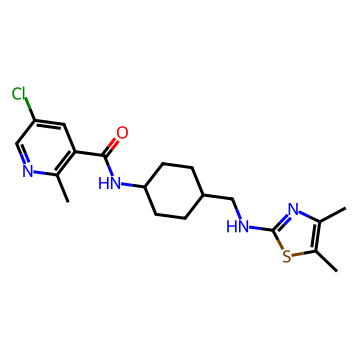 Cc1ncc(Cl)cc1C(=O)NC1CCC(CNc2nc(C)c(C)s2)CC1